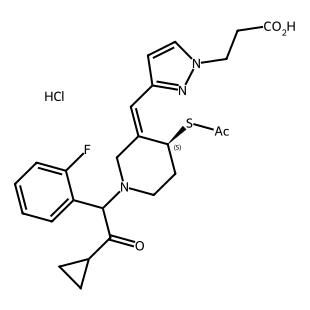 CC(=O)S[C@H]1CCN(C(C(=O)C2CC2)c2ccccc2F)CC1=Cc1ccn(CCC(=O)O)n1.Cl